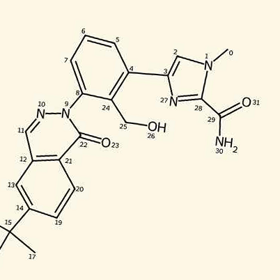 Cn1cc(-c2cccc(-n3ncc4cc(C(C)(C)C)ccc4c3=O)c2CO)nc1C(N)=O